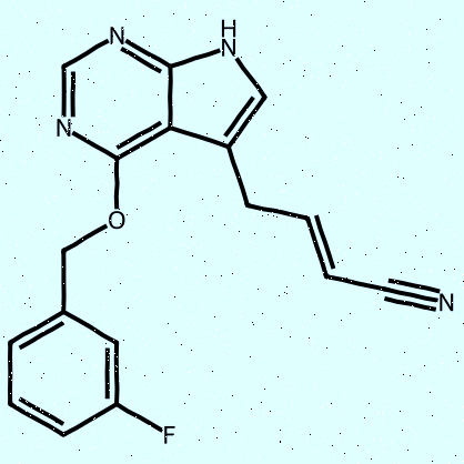 N#CC=CCc1c[nH]c2ncnc(OCc3cccc(F)c3)c12